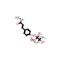 CNC(=O)/C=C/c1ccc(B(O)OC(C)(C)C(C)(C)O)cc1